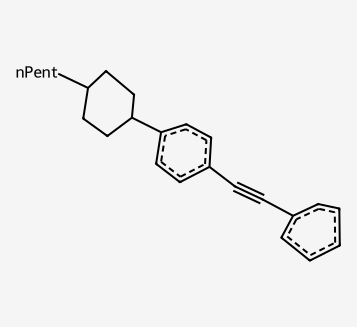 CCCCCC1CCC(c2ccc(C#Cc3ccccc3)cc2)CC1